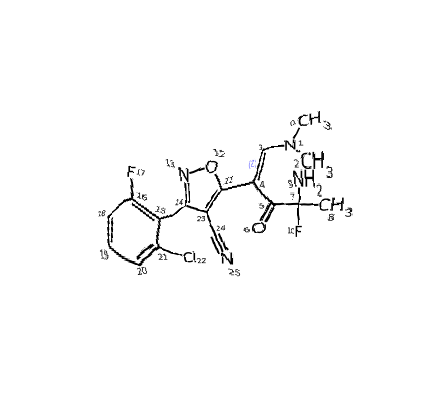 CN(C)/C=C(\C(=O)C(C)(N)F)c1onc(-c2c(F)cccc2Cl)c1C#N